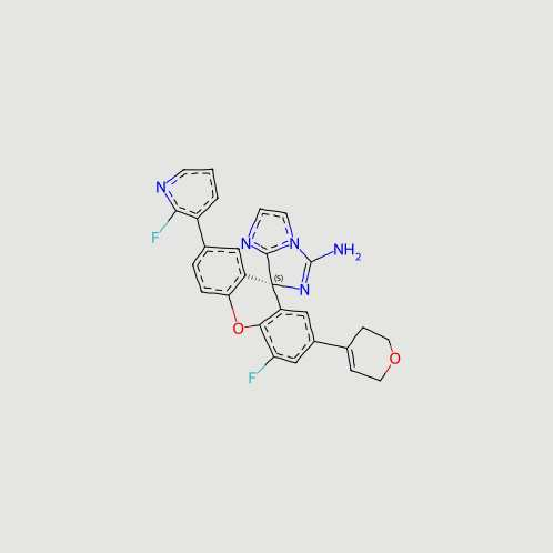 NC1=N[C@]2(c3cc(-c4cccnc4F)ccc3Oc3c(F)cc(C4=CCOCC4)cc32)c2nccn21